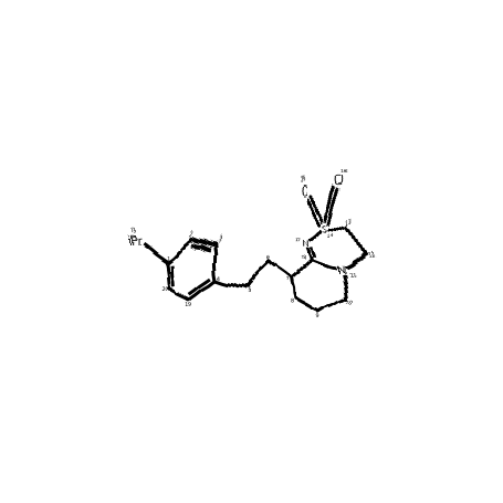 CC(C)c1ccc(CCC2CCCN3CCS(=O)(=O)N=C23)cc1